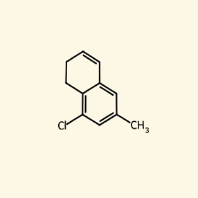 Cc1cc(Cl)c2c(c1)C=CCC2